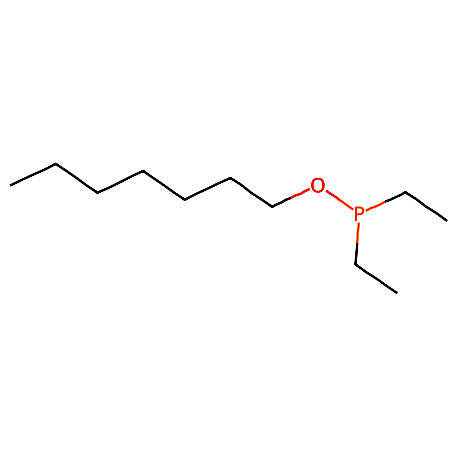 CCCCCCCOP(CC)CC